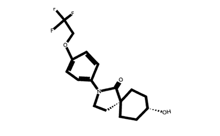 O=C1N(c2ccc(OCC(F)(F)F)cc2)CC[C@]12CC[C@@H](O)CC2